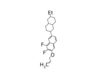 C=CCOc1cc2ccc(C3CCC4CC(CC)CCC4C3)cc2c(F)c1F